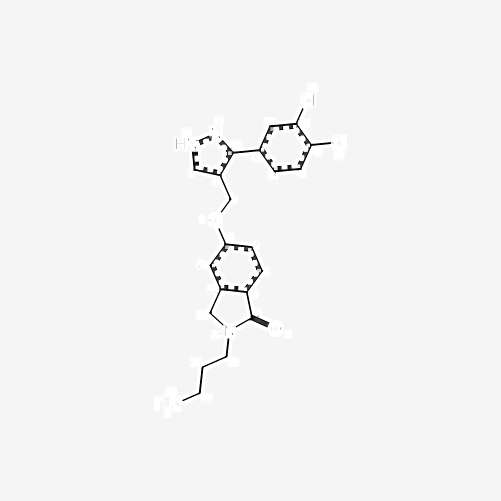 O=C1c2ccc(OCc3c[nH]nc3-c3ccc(Cl)c(Cl)c3)cc2CN1CCCC(F)(F)F